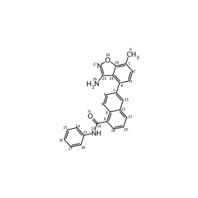 Cc1ccc(-c2ccc3c(C(=O)Nc4ccccc4)cccc3c2)c2c(N)noc12